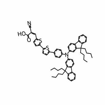 CCCCC1(CCCC)c2ccccc2-c2ccc(N(c3ccc(-c4ccc(-c5ccc(/C=C(/C#N)C(=O)O)s5)s4)cc3)c3ccc4c(c3)C(CCCC)(CCCC)c3ccccc3-4)cc21